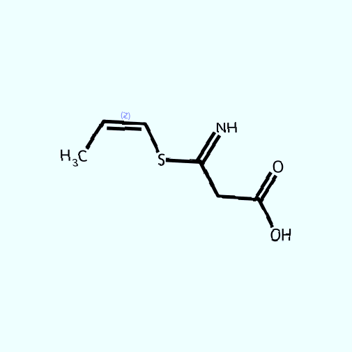 C/C=C\SC(=N)CC(=O)O